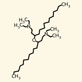 CCCCCCCCCCCC(CCN(CC)CC)OC(CCCCCCCCCCC)CCN(CC)CC